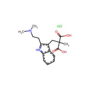 CN(C)CCc1[nH]c2ccccc2c1CC(C)(C(=O)O)C(=O)O.Cl